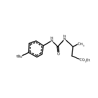 CCOC(=O)CC(C)NC(=O)Nc1ccc(C(C)(C)C)cc1